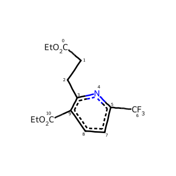 CCOC(=O)CCc1nc(C(F)(F)F)ccc1C(=O)OCC